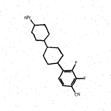 CCCC1CCC(C2CCC(c3ccc(C#N)c(F)c3F)CC2)CC1